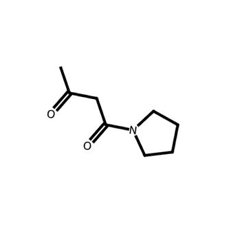 CC(=O)CC(=O)N1CCCC1